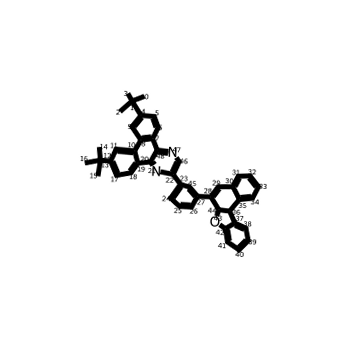 CC(C)(C)c1ccc2c(c1)c1cc(C(C)(C)C)ccc1c1nc(-c3cccc(C4=Cc5ccccc5C5c6ccccc6OC45)c3)cnc21